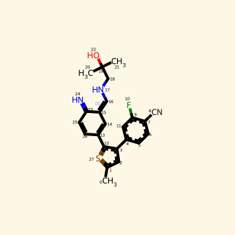 Cc1cc(-c2ccc(C#N)c(F)c2)c(C2=C/C(=C/NCC(C)(C)O)C(=N)C=C2)s1